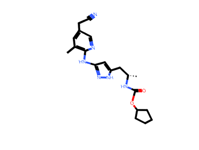 Cc1cc(CC#N)cnc1Nc1cc(C[C@H](C)NC(=O)OC2CCCC2)[nH]n1